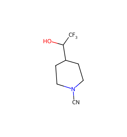 N#CN1CCC(C(O)C(F)(F)F)CC1